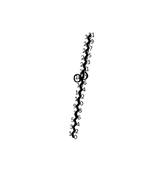 CCCCCCC=CCCCCCCCCCC(=O)OCCCCCCCCCCCC